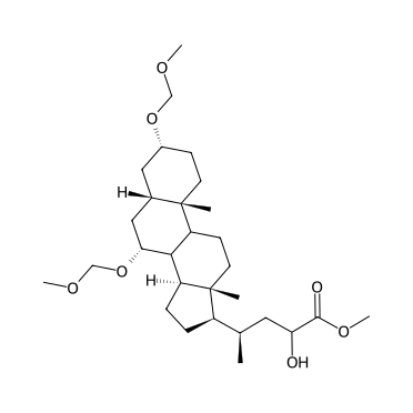 COCO[C@@H]1CC[C@]2(C)C3CC[C@]4(C)[C@@H]([C@H](C)CC(O)C(=O)OC)CC[C@H]4C3[C@H](OCOC)C[C@@H]2C1